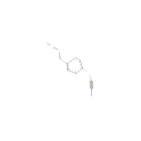 NC#COc1ccc(CN=C=O)cc1